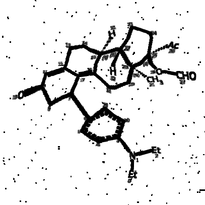 CCN(CC)c1ccc(C2CC(=O)C=C3CC[C@@H]4C(=C32)CC[C@@]2(C)[C@H]4CC[C@]2(OC=O)C(C)=O)cc1